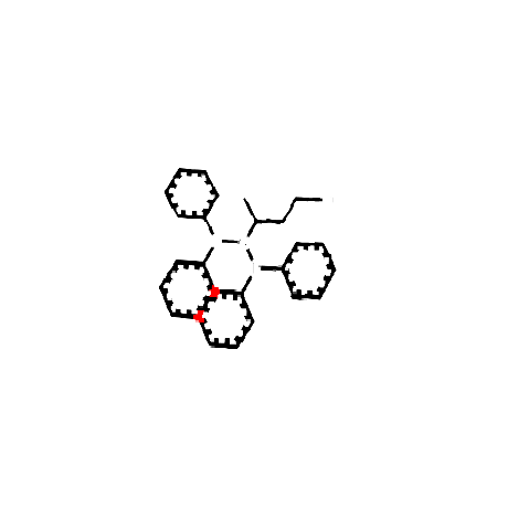 CC(C)CCC(C)N(P(c1ccccc1)c1ccccc1)P(c1ccccc1)c1ccccc1